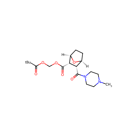 CN1CCN(C(=O)[C@@H]2[C@H](C(=O)OCOC(=O)C(C)(C)C)[C@H]3CC[C@@H]2O3)CC1